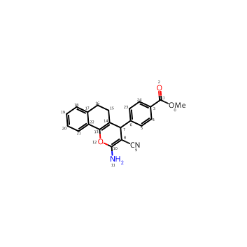 COC(=O)c1ccc(C2C(C#N)=C(N)OC3=C2CCc2ccccc23)cc1